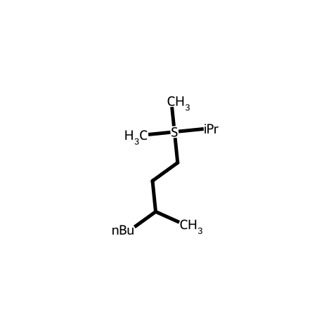 CCCCC(C)CCS(C)(C)C(C)C